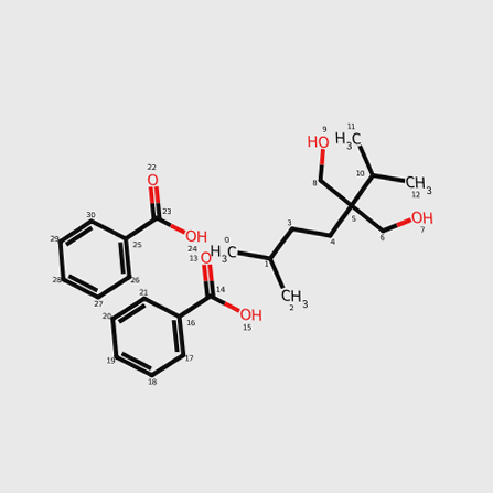 CC(C)CCC(CO)(CO)C(C)C.O=C(O)c1ccccc1.O=C(O)c1ccccc1